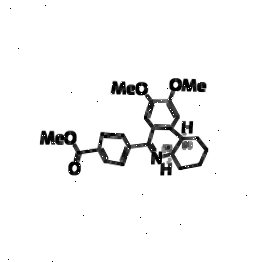 COC(=O)c1ccc(C2=N[C@@H]3CCCC[C@@H]3c3cc(OC)c(OC)cc32)cc1